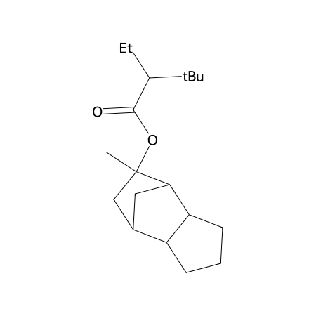 CCC(C(=O)OC1(C)CC2CC1C1CCCC21)C(C)(C)C